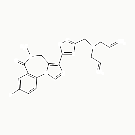 C=CCN(CC=C)Cc1noc(-c2ncn3c2CN(C)C(=O)c2cc(F)ccc2-3)n1